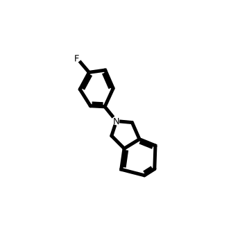 Fc1ccc(N2Cc3ccccc3C2)cc1